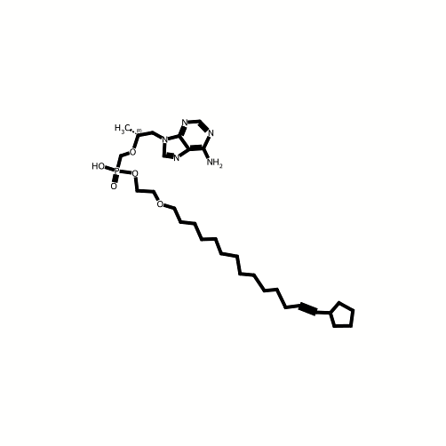 C[C@H](Cn1cnc2c(N)ncnc21)OCP(=O)(O)OCCOCCCCCCCCCCCCC#CC1CCCC1